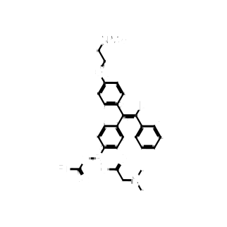 CCC(=O)OB(OC(=O)CN(C)C)c1ccc(C(=C(CC)c2ccccc2)c2ccc(OCCNC)cc2)cc1